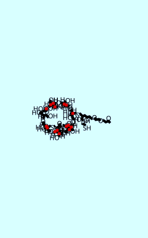 CN[C@H](CSCC1O[C@H]2O[C@@H]3C(CO)O[C@H](O[C@@H]4C(CO)O[C@H](O[C@@H]5C(CO)O[C@H](O[C@@H]6C(CSCC(CC(=O)CCOCCOCCC(C)=O)C(=O)NCCS)O[C@H](O[C@@H]7C(CO)O[C@H](O[C@@H]8C(CO)O[C@@H](O[C@H]1[C@H](O)C2O)C(O)[C@H]8O)C(O)[C@H]7O)C(O)[C@H]6O)C(O)[C@H]5O)C(O)[C@H]4O)C(O)[C@H]3O)C(=O)NCCS